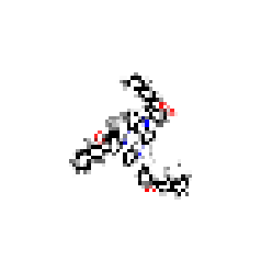 c1cc2c3c(c1)N(c1ccc4oc5cc6ccccc6cc5c4c1)c1cccc4c1[SiH]3c1c(cccc1N4c1ccc3oc4cc5ccccc5cc4c3c1)N2c1ccc2oc3cc4ccccc4cc3c2c1